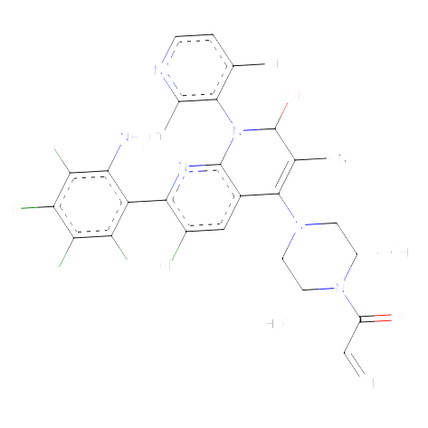 C=CC(=O)N1[C@H](C)CN(C2=C(C#N)C(O)N(c3c(C)ccnc3C(C)C)c3nc(-c4c(N)c(F)c(F)c(Cl)c4F)c(Cl)cc32)C[C@@H]1C